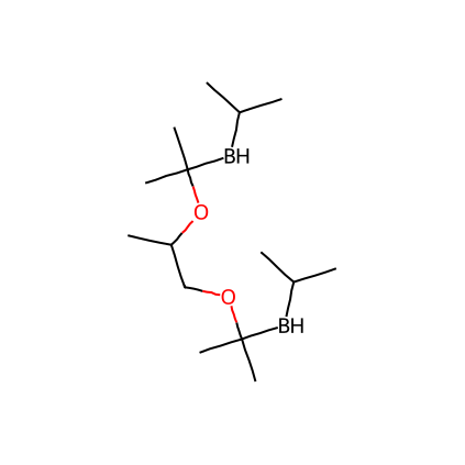 CC(C)BC(C)(C)OCC(C)OC(C)(C)BC(C)C